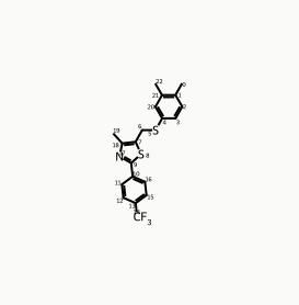 Cc1ccc(SCc2sc(-c3ccc(C(F)(F)F)cc3)nc2C)cc1C